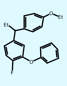 CCOc1ccc([C](CC)c2ccc(F)c(Oc3ccccc3)c2)cc1